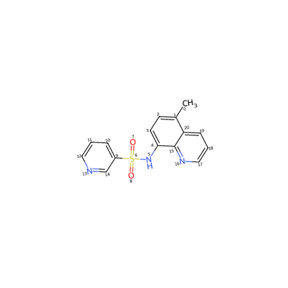 Cc1ccc(NS(=O)(=O)c2cccnc2)c2ncccc12